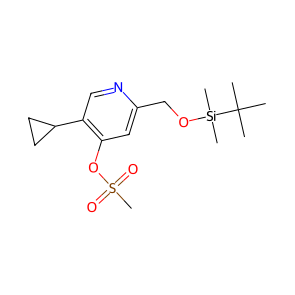 CC(C)(C)[Si](C)(C)OCc1cc(OS(C)(=O)=O)c(C2CC2)cn1